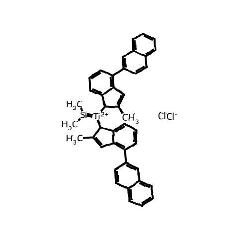 CC1=Cc2c(-c3ccc4ccccc4c3)cccc2[CH]1[Ti+2]([CH]1C(C)=Cc2c(-c3ccc4ccccc4c3)cccc21)=[Si](C)C.[Cl-].[Cl-]